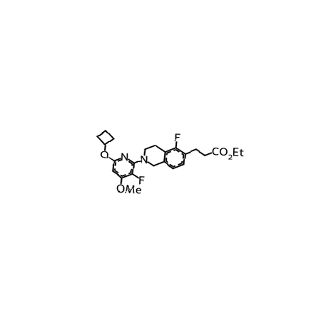 CCOC(=O)CCc1ccc2c(c1F)CCN(c1nc(OC3CCC3)cc(OC)c1F)C2